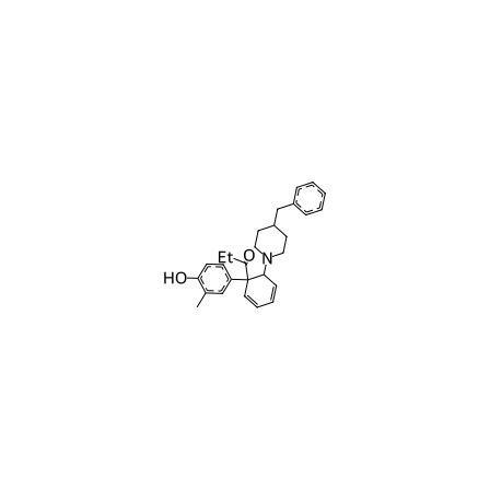 CCC(=O)C1(c2ccc(O)c(C)c2)C=CC=CC1N1CCC(Cc2ccccc2)CC1